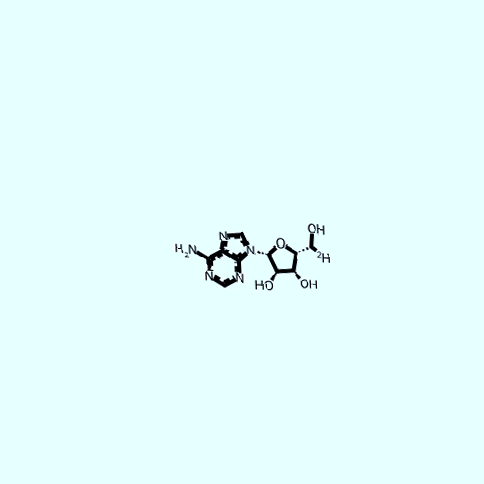 [2H]C(O)[C@H]1O[C@@H](n2cnc3c(N)ncnc32)[C@H](O)[C@@H]1O